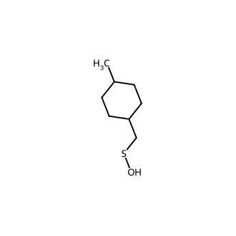 CC1CCC(CSO)CC1